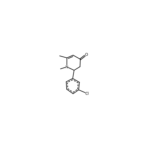 CC1=CC(=O)CC(c2cccc(Cl)c2)N1C